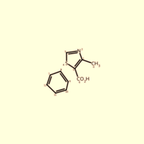 Cc1ncsc1C(=O)O.c1ccccc1